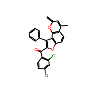 C=C1C=C(C)c2ccc3oc(C(=O)c4ccc(Cl)cc4Cl)c(-c4ccccc4)c3c2O1